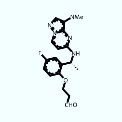 CNc1cnn2ccc(N[C@H](C)c3cc(F)ccc3OCCC=O)nc12